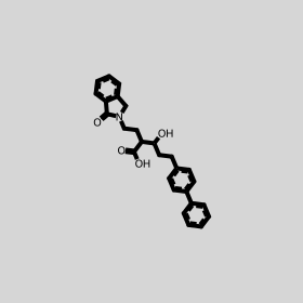 O=C(O)C(CCN1Cc2ccccc2C1=O)C(O)CCc1ccc(-c2ccccc2)cc1